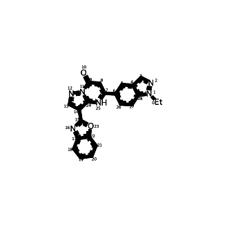 CCn1ncc2cc(-c3cc(=O)n4ncc(-c5nc6ccccc6o5)c4[nH]3)ccc21